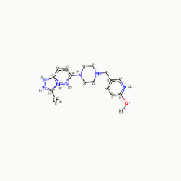 CCOc1ccc(CN2CCN(c3ccc4nnc(C(F)(F)F)n4n3)CC2)cn1